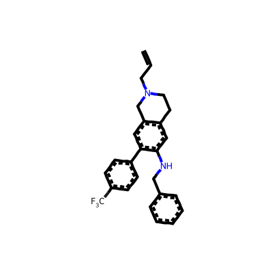 C=CCN1CCc2cc(NCc3ccccc3)c(-c3ccc(C(F)(F)F)cc3)cc2C1